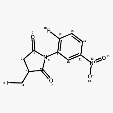 O=C1CC(CF)C(=O)N1c1cc([N+](=O)[O-])ccc1F